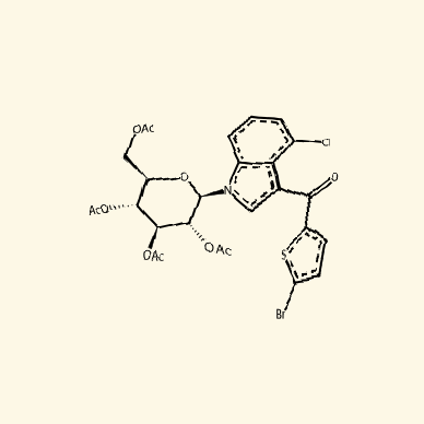 CC(=O)OC[C@H]1O[C@@H](n2cc(C(=O)c3ccc(Br)s3)c3c(Cl)cccc32)[C@H](OC(C)=O)[C@@H](OC(C)=O)[C@@H]1OC(C)=O